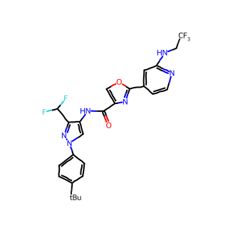 CC(C)(C)c1ccc(-n2cc(NC(=O)c3coc(-c4ccnc(NCC(F)(F)F)c4)n3)c(C(F)F)n2)cc1